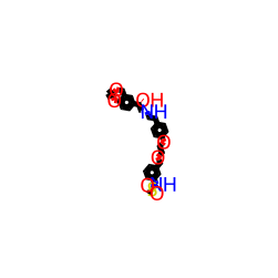 CC1(C)OCc2cc([C@H](O)CNCCc3ccc(OCCOCc4cccc(NS(C)(=O)=O)c4)cc3)ccc2O1